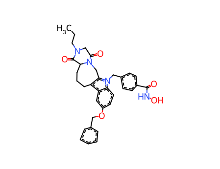 CCCN1CC(=O)N2Cc3c(c4cc(OCc5ccccc5)ccc4n3Cc3ccc(C(=O)NO)cc3)CCCC2C1=O